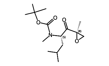 CC(C)C[C@@H](C(=O)[C@@]1(C)CO1)N(C)C(=O)OC(C)(C)C